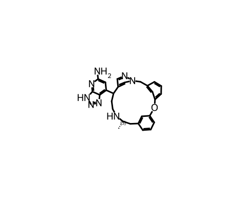 C[C@H]1Cc2cccc(c2)Oc2cccc(c2)Cn2cc(cn2)C(c2cc(N)nc3[nH]nnc23)CCN1